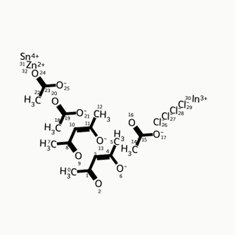 CC(=O)/C=C(/C)[O-].CC(=O)/C=C(/C)[O-].CC(=O)[O-].CC(=O)[O-].CC(=O)[O-].[Cl-].[Cl-].[Cl-].[Cl-].[In+3].[Sn+4].[Zn+2]